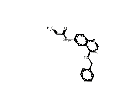 C=CC(=O)Nc1ccc2ncnc(NCc3ccccc3)c2c1